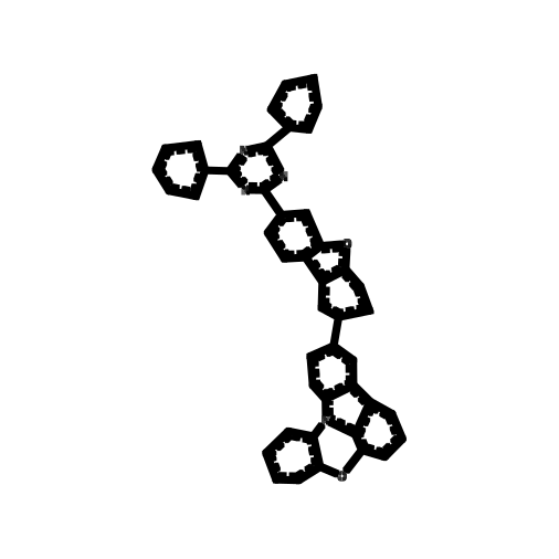 c1ccc(-c2nc(-c3ccccc3)nc(-c3ccc4c(c3)oc3ccc(-c5ccc6c(c5)c5cccc7c5n6-c5ccccc5O7)cc34)n2)cc1